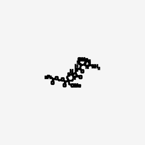 CCCC(=O)OCOC(=O)C1(COC)CS[C@@H]2C(NC(=O)C(=NOC)c3csc(N)n3)C(=O)N2C1